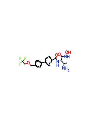 C[C@@H](N)[C@H](NC(=O)c1ccc(-c2ccc(COCC(F)(F)F)cc2)cc1)C(=O)NO